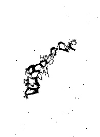 COCC(C)N1CCN(c2ccc(Nc3cc(-c4ccnc(-n5ncn6c7c(cc6c5=O)CC(C)(C)C7)c4CO)cn(C)c3=O)nc2)CC1